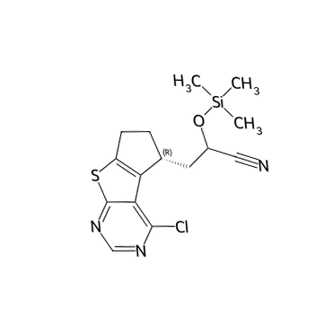 C[Si](C)(C)OC(C#N)C[C@H]1CCc2sc3ncnc(Cl)c3c21